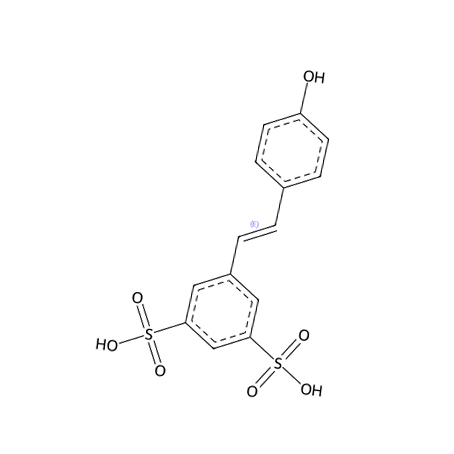 O=S(=O)(O)c1cc(/C=C/c2ccc(O)cc2)cc(S(=O)(=O)O)c1